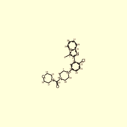 Cc1c(-c2cc(N3CCN(C(=O)N4CCOCC4)CC3)ccc2Cl)nc2ccccn12